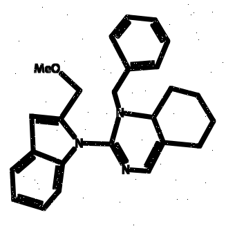 COCc1cc2ccccc2n1C1=NC=C2CCCCC2N1Cc1ccccc1